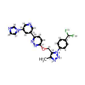 Cc1nnn(-c2ccc(C(F)F)cc2)c1COc1ccc(-c2cncc(-n3ccnc3)c2)nn1